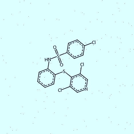 O=S(=O)(Nc1ccccc1Sc1c(Cl)cncc1Cl)c1ccc(Cl)cc1